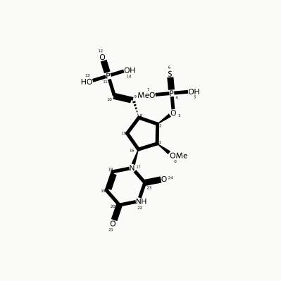 CO[C@@H]1[C@H](OP(O)(=S)OC)[C@@H](/C=C/P(=O)(O)O)C[C@@H]1n1ccc(=O)[nH]c1=O